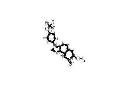 Cc1cc2ccc3c(ncn3-c3ccc(OC(F)(F)F)cc3)c2c[n+]1[O-]